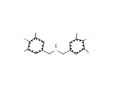 Cc1cc(CN(N)Cc2cc(C)c(O)c(C(C)(C)C)c2)cc(C(C)(C)C)c1O